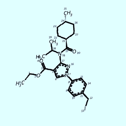 CCOC(=O)c1cn(-c2ccc(CI)cc2)nc1N(C(=O)[C@H]1CC[C@H](C)CC1)C(C)C